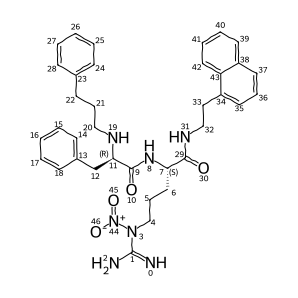 N=C(N)N(CCC[C@H](NC(=O)[C@@H](Cc1ccccc1)NCCCc1ccccc1)C(=O)NCCc1cccc2ccccc12)[N+](=O)[O-]